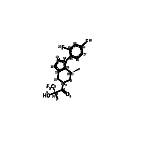 C[C@@H]1CN(C(=O)[C@@](C)(O)C(F)(F)F)Cc2cnn(-c3ccc(F)cc3F)c21